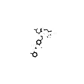 COc1cc(CC(=O)NC(CC(C)C)c2cnc(CC(NS(C)(=O)=O)C(=O)O)o2)ccc1NC(=O)Nc1ccccc1C